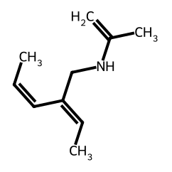 C=C(C)NCC(/C=C\C)=C/C